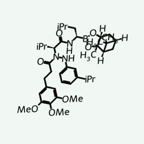 COc1cc(CCC(=O)N(Nc2cccc(C(C)C)c2)[C@H](C(=O)N[C@@H](CC(C)C)B2O[C@@H]3C[C@@H]4C[C@@H](C4(C)C)[C@]3(C)O2)C(C)C)cc(OC)c1OC